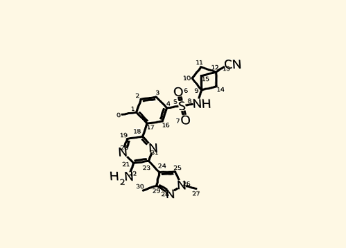 Cc1ccc(S(=O)(=O)NC23CCC(C#N)(C2)C3)cc1-c1cnc(N)c(-c2cn(C)nc2C)n1